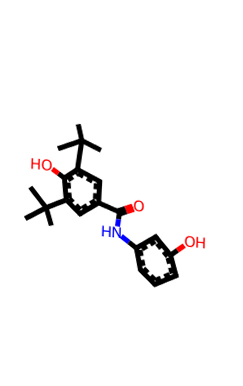 CC(C)(C)c1cc(C(=O)Nc2cccc(O)c2)cc(C(C)(C)C)c1O